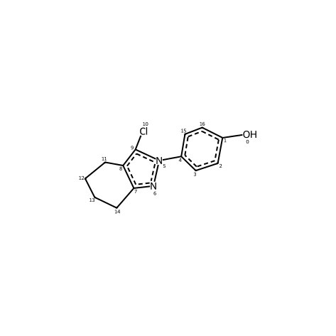 Oc1ccc(-n2nc3c(c2Cl)CCCC3)cc1